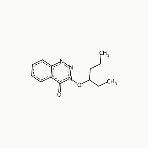 CCCC(CC)On1nnc2ccccc2c1=O